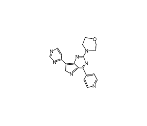 c1cc(-c2nc(N3CCOCC3)nc3c2=NCC=3c2ccncn2)ccn1